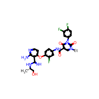 CCn1cc(C(=O)Nc2ccc(Oc3ccnc(N)c3C(=N)N[C@@H](C)CO)c(F)c2)c(=O)n(-c2ccc(F)c(F)c2)c1=O